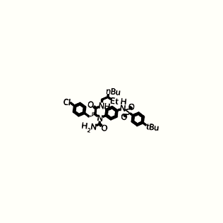 CCCCC(CC)CNC(=O)[C@@H](Cc1ccc(Cl)cc1)N(C(N)=O)c1ccc(NS(=O)(=O)c2ccc(C(C)(C)C)cc2)cc1